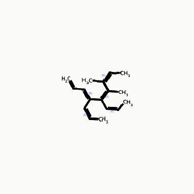 C=C/C=C(\C=C/C)C(/C=C\C)=C(C)\C(C)=C/C